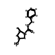 CC1CC(O)CN1C(=O)OCc1ccccc1